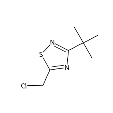 CC(C)(C)c1nsc(CCl)n1